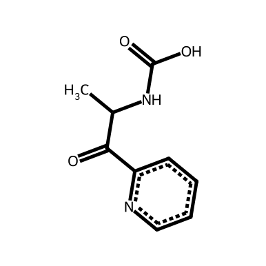 CC(NC(=O)O)C(=O)c1ccccn1